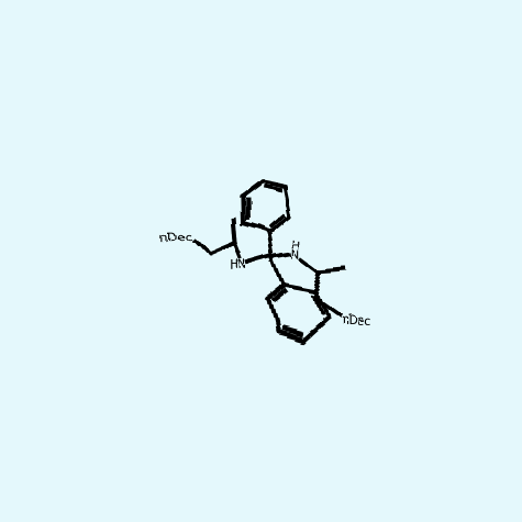 CCCCCCCCCCCC(C)NC(NC(C)CCCCCCCCCCC)(c1ccccc1)c1ccccc1